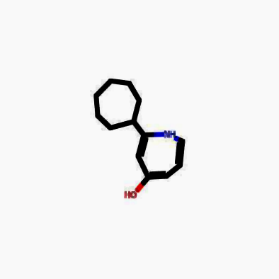 OC1=CC=CNC([C]2CCCCCC2)=C1